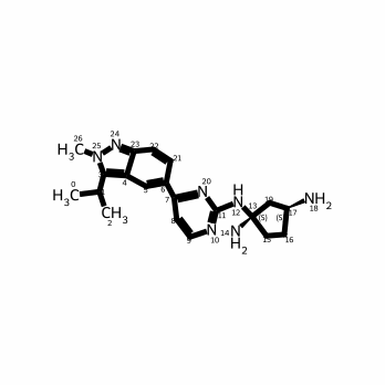 CC(C)c1c2cc(-c3ccnc(N[C@@]4(N)CC[C@H](N)C4)n3)ccc2nn1C